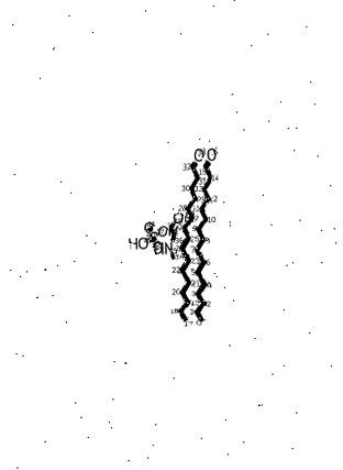 CCCCCCCCCCCCCCCC=O.CCCCCCCCCCCCCCCC=O.CNCCO.O=S(=O)(O)O